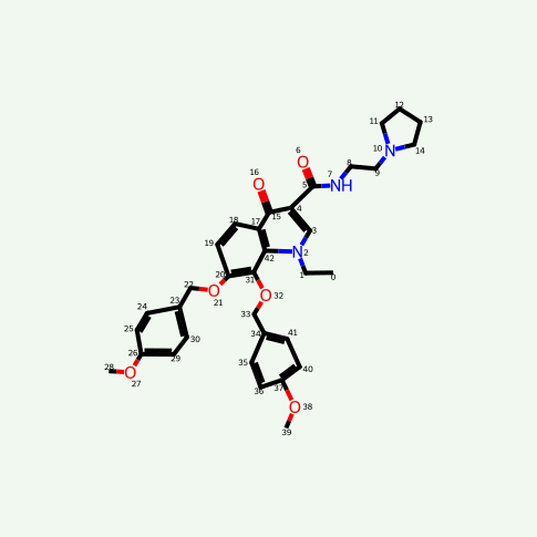 CCn1cc(C(=O)NCCN2CCCC2)c(=O)c2ccc(OCc3ccc(OC)cc3)c(OCc3ccc(OC)cc3)c21